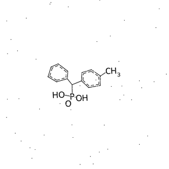 Cc1ccc(C(c2ccccc2)P(=O)(O)O)cc1